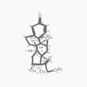 CC(=O)OCC(=O)[C@@]1(OC(C)=O)[C@H](C)C[C@H]2[C@@H]3CCC4=CC(=O)C=C[C@]4(C)[C@@]34O[C@H]4C[C@@]21C